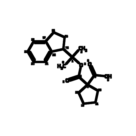 CC(C)(OC(=O)C1(C(=O)O)CCCC1)C1CCc2ccccc21